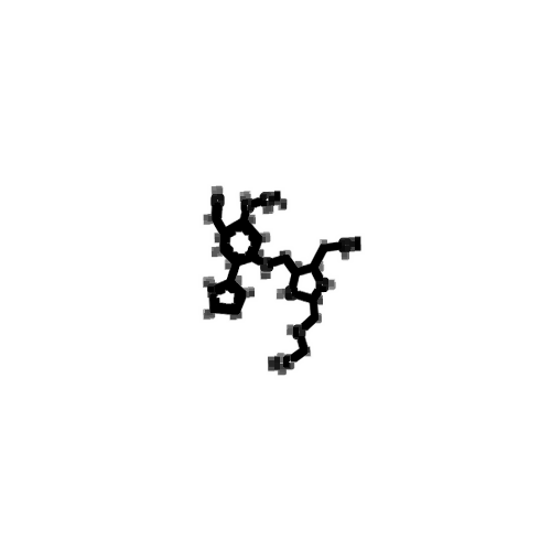 CCOCC1OC(CO)C(COc2cc(OC)c(C=O)cc2-c2cccs2)O1